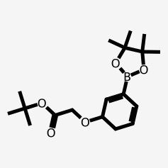 CC(C)(C)OC(=O)COC1C=C(B2OC(C)(C)C(C)(C)O2)C=CC1